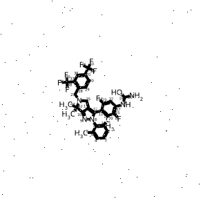 Cc1cccc(C)c1-n1nc2c(c1-c1cc(F)c(NC(N)O)cc1F)CN(Cc1ccc(C(F)(F)F)cc1C(F)(F)F)C2(C)C